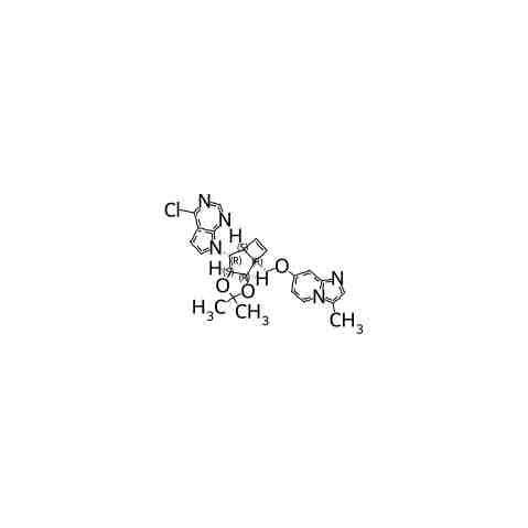 Cc1cnc2cc(OC[C@@]34C=C[C@@H]3[C@@H](n3ccc5c(Cl)ncnc53)[C@@H]3OC(C)(C)O[C@@H]34)ccn12